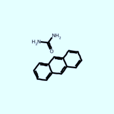 NC(N)=O.c1ccc2cc3ccccc3cc2c1